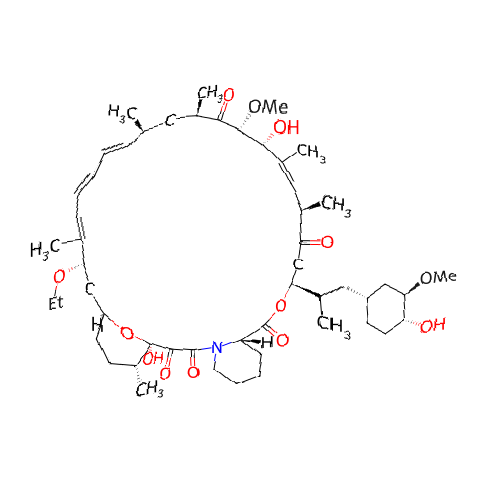 CCO[C@H]1C[C@@H]2CC[C@@H](C)[C@@](O)(O2)C(=O)C(=O)N2CCCC[C@H]2C(=O)O[C@H](C(C)C[C@H]2CC[C@@H](O)[C@H](OC)C2)CC(=O)[C@H](C)/C=C(\C)[C@@H](O)[C@@H](OC)C(=O)[C@H](C)C[C@H](C)/C=C/C=C/C=C\1C